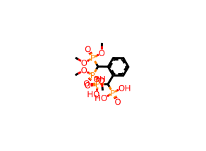 COP(=O)(OC)C(c1ccccc1C(P(=O)(O)O)P(=O)(O)O)P(=O)(OC)OC